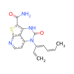 C=C/C(=C\C=C/C)N1C(=O)Nc2c(C(N)=O)sc3nccc1c23